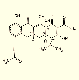 CN(C)[C@H]1C(O)=C(C(N)=O)C(=O)[C@]2(O)C(O)=C3C(=O)c4c(O)ccc(C#CC(N)=O)c4C[C@H]3C[C@H]12